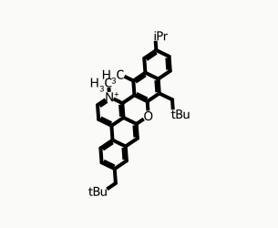 Cc1c2c(c(CC(C)(C)C)c3ccc(C(C)C)cc13)Oc1cc3cc(CC(C)(C)C)ccc3c3cc[n+](C)c-2c13